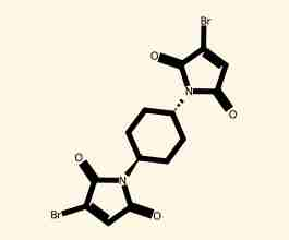 O=C1C=C(Br)C(=O)N1[C@H]1CC[C@H](N2C(=O)C=C(Br)C2=O)CC1